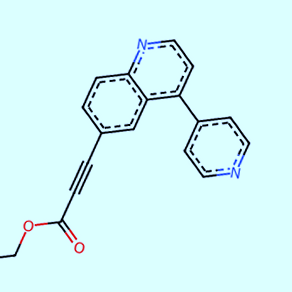 CCOC(=O)C#Cc1ccc2nccc(-c3ccncc3)c2c1